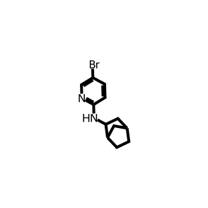 Brc1ccc(NC2CC3CCC2C3)nc1